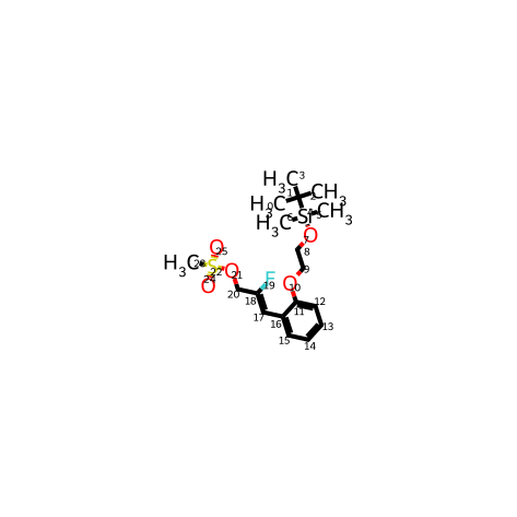 CC(C)(C)[Si](C)(C)OCCOc1ccccc1/C=C(\F)COS(C)(=O)=O